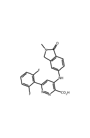 CN1Cc2cc(Nc3cc(-c4c(F)cccc4F)nnc3C(=O)O)ccc2C1=O